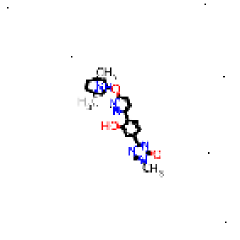 Cn1cnc(-c2ccc(-c3ccc(OC4C[C@]5(C)CC[C@](C)(C4)N5)nn3)c(O)c2)nc1=O